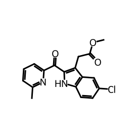 COC(=O)Cc1c(C(=O)c2cccc(C)n2)[nH]c2ccc(Cl)cc12